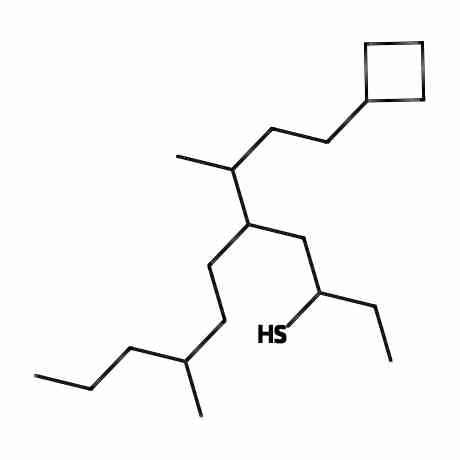 CCCC(C)CCC(CC(S)CC)C(C)CCC1CCC1